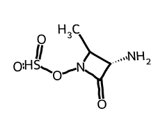 CC1[C@H](N)C(=O)N1O[SH](=O)=O